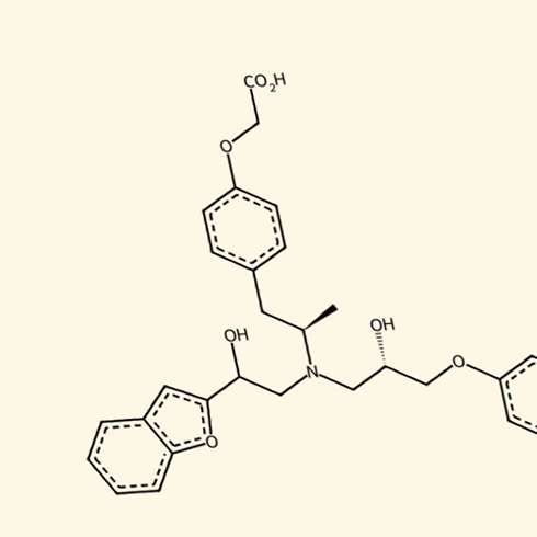 C[C@H](Cc1ccc(OCC(=O)O)cc1)N(CC(O)c1cc2ccccc2o1)C[C@H](O)COc1ccccc1